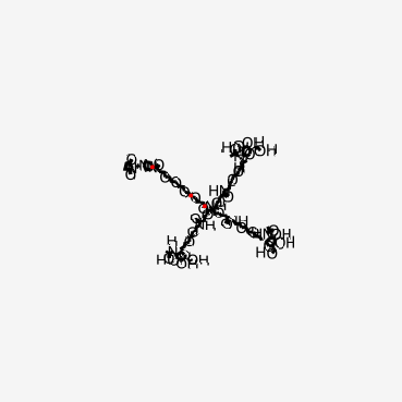 CC(=O)N[C@@H]1[C@@H](O)[C@@H](O)[C@@H](CO)O[C@@H]1CCCOCCOCCNC(=O)CCOCC(COCCC(=O)NCCOCCOCCC[C@H]1O[C@H](CO)[C@H](O)[C@H](O)[C@H]1NC(C)=O)(COCCC(=O)NCCOCCOCCC[C@H]1O[C@H](CO)[C@H](O)[C@H](O)[C@H]1NC(C)=O)NC(=O)CCOCCOCCOCCOCCC(=O)N1CCN(CCN2C(=O)C=CC2=O)CC1